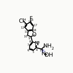 N/C(=N\O)c1cccc(C2Cc3cc(Cl)c(F)cc3O2)n1